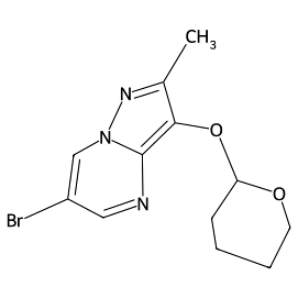 Cc1nn2cc(Br)cnc2c1OC1CCCCO1